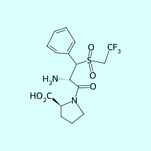 N[C@@H](C(=O)N1CCC[C@H]1C(=O)O)C(c1ccccc1)S(=O)(=O)CC(F)(F)F